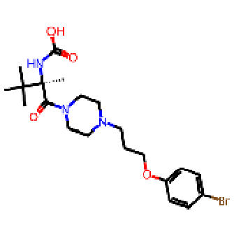 CC(C)(C)[C@@](C)(NC(=O)O)C(=O)N1CCN(CCCOc2ccc(Br)cc2)CC1